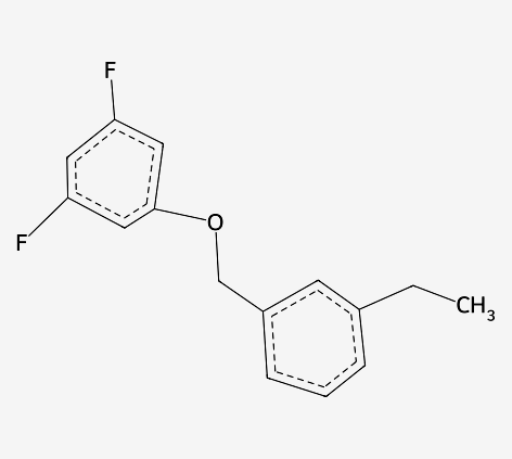 CCc1cccc(COc2cc(F)cc(F)c2)c1